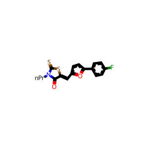 CCCN1C(=O)/C(=C/c2ccc(-c3ccc(F)cc3)o2)SC1=S